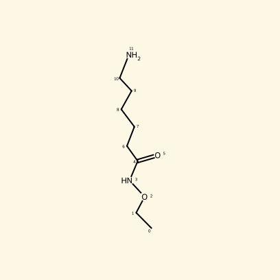 CCONC(=O)CCCCCN